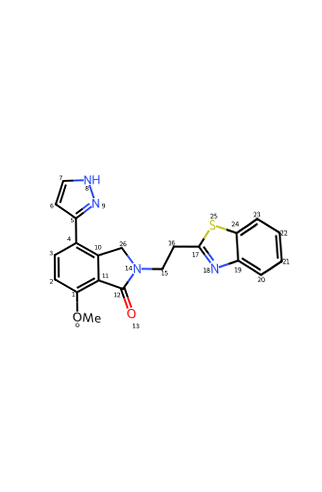 COc1ccc(-c2cc[nH]n2)c2c1C(=O)N(CCc1nc3ccccc3s1)C2